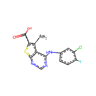 O=C(O)c1sc2ncnc(Nc3ccc(F)c(Cl)c3)c2c1[AsH2]